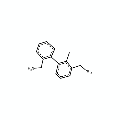 Cc1c(CN)cccc1-c1ccccc1CN